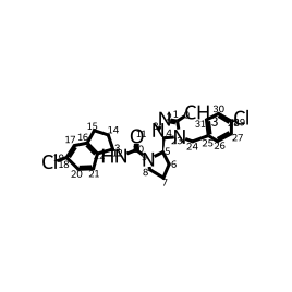 Cc1nnc([C@H]2CCCN2C(=O)N[C@H]2CCc3cc(Cl)ccc32)n1Cc1ccc(Cl)cc1